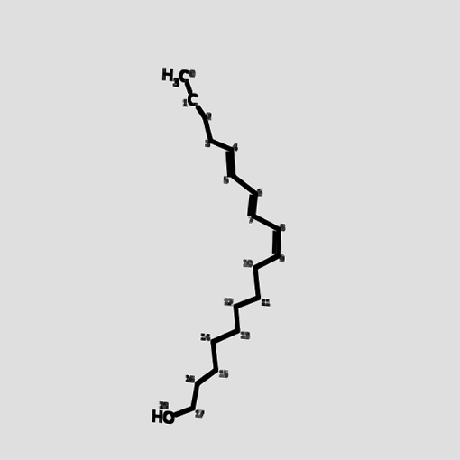 CCCCC=C/C=C/C=C\CCCCCCCCO